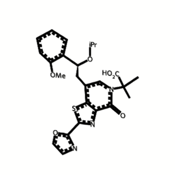 COc1ccccc1[C@H](Cc1cn(C(C)(C)C(=O)O)c(=O)c2nc(-c3ncco3)sc12)OC(C)C